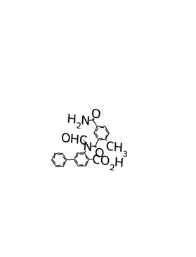 Cc1ccc(C(N)=O)cc1C(=O)N(C=O)c1cc(-c2ccccc2)ccc1C(=O)O